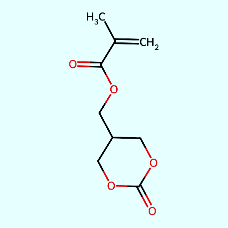 C=C(C)C(=O)OCC1COC(=O)OC1